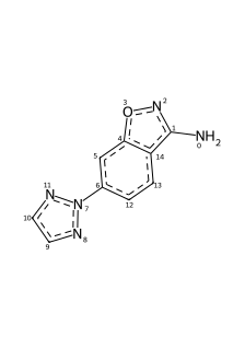 Nc1noc2cc(-n3nccn3)ccc12